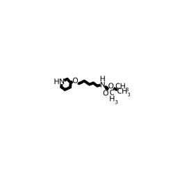 CC(C)(C)OC(=O)NCCCCCOC1CCCNC1